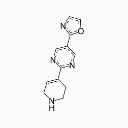 C1=C(c2ncc(-c3ncco3)cn2)CCNC1